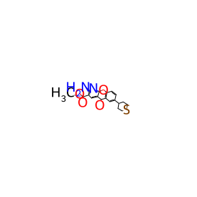 CCOC(=O)c1cc2c(=O)c3cc(C4CCSCC4)ccc3oc2nc1N